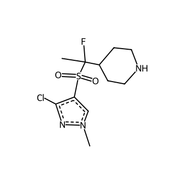 Cn1cc(S(=O)(=O)C(C)(F)C2CCNCC2)c(Cl)n1